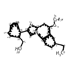 CCc1ccc2c(c1)c(OC)cc1nc(-c3ccccc3CO)cn12